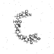 CC1(C)C[C@@H](C(=O)Nc2ccc(N3CCC(CN4CCN(c5ccc6c(c5)C(=O)N(C5CCC(=O)NC5=O)C6=O)CC4)CC3)nn2)C[C@@H]1Oc1ccc(C#N)c(Cl)c1